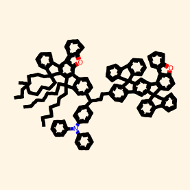 CCCCCCCC1(CCCCCCC)c2cc(C(CCc3ccc4c(c3)C3(c5ccccc5-c5ccccc53)c3cc5c(cc3-4)C3(c4ccccc4-c4ccccc43)c3ccc4oc6ccccc6c4c3-5)c3ccc(N(c4ccccc4)c4ccccc4)cc3)ccc2-c2c1c1c(c3c2oc2ccccc23)-c2ccccc2C1(CCCCCCC)CCCCCCC